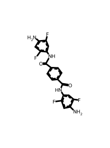 Nc1cc(F)c(NC(=O)c2ccc(C(=O)Nc3cc(F)c(N)cc3F)cc2)cc1F